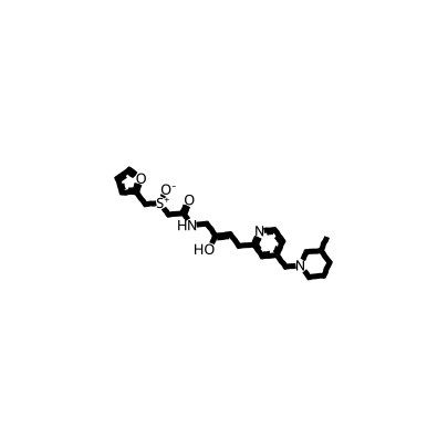 CC1CCCN(Cc2ccnc(C/C=C(\O)CNC(=O)C[S+]([O-])Cc3ccco3)c2)C1